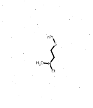 CCCSCCN(C)CC